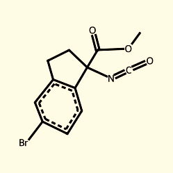 COC(=O)C1(N=C=O)CCc2cc(Br)ccc21